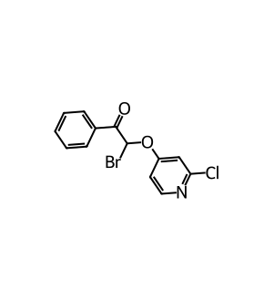 O=C(c1ccccc1)C(Br)Oc1ccnc(Cl)c1